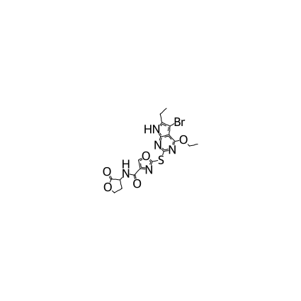 CCOc1nc(Sc2nc(C(=O)NC3CCOC3=O)co2)nc2[nH]c(CC)c(Br)c12